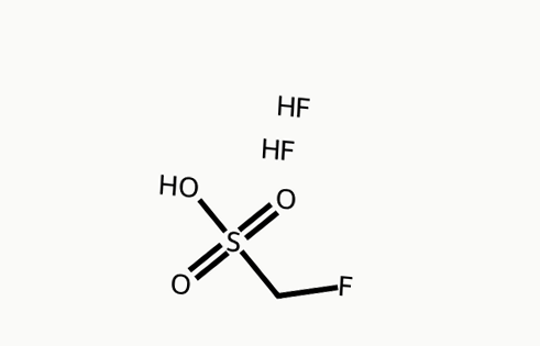 F.F.O=S(=O)(O)CF